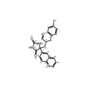 O=CN(Cc1ccc(F)cc1)CC1(c2ccc3ncccc3c2)NC(=O)NC1=O